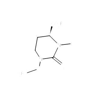 CCCCON1CC[C@@H](C(=O)OCC)N(CC)C1=O